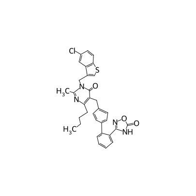 CCCCc1nc(C)n(Cc2csc3ccc(Cl)cc23)c(=O)c1Cc1ccc(-c2ccccc2-c2noc(=O)[nH]2)cc1